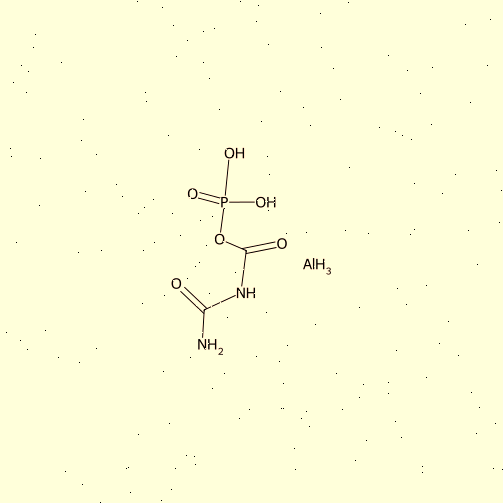 NC(=O)NC(=O)OP(=O)(O)O.[AlH3]